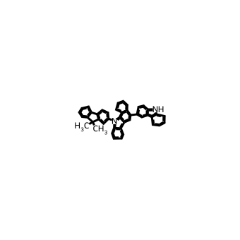 CC1(C)c2ccccc2-c2ccc(-n3c4ccccc4c4cc(-c5ccc6[nH]c7ccccc7c6c5)c5ccccc5c43)cc21